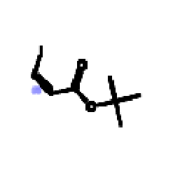 CC(C)(C)OC(=O)/C=C\I